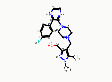 Cc1c(CN2CCN(c3nccnc3-c3ccc(F)cc3)CC2)c(CO)nn1C